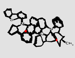 CC1CC=CC(c2ccccc2N(C2=CCCC3=C2OC2C=CC=CC32)c2ccc3ccc4c(N(c5cccc6c5OC5C=CC=CC65)C5CC=CC=C5c5ccccc5)ccc5ccc2c3c54)C1